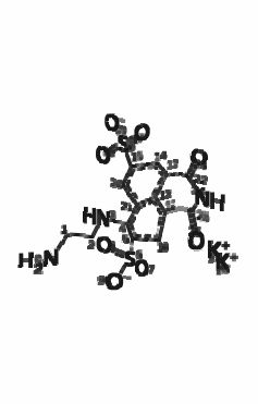 NCCNc1c(S(=O)(=O)[O-])cc2c3c(cc(S(=O)(=O)[O-])cc13)C(=O)NC2=O.[K+].[K+]